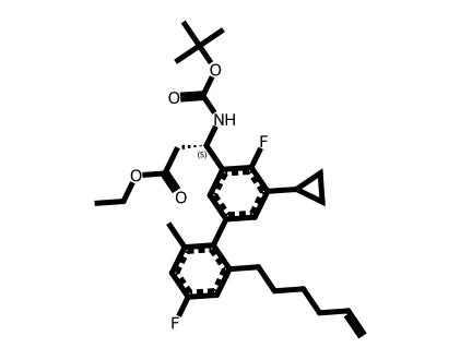 C=CCCCCc1cc(F)cc(C)c1-c1cc(C2CC2)c(F)c([C@H](CC(=O)OCC)NC(=O)OC(C)(C)C)c1